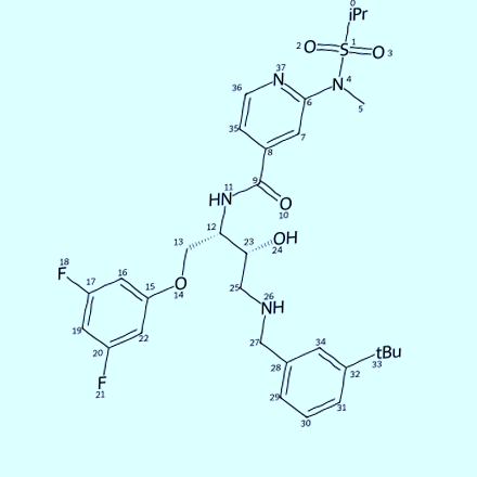 CC(C)S(=O)(=O)N(C)c1cc(C(=O)N[C@@H](COc2cc(F)cc(F)c2)[C@H](O)CNCc2cccc(C(C)(C)C)c2)ccn1